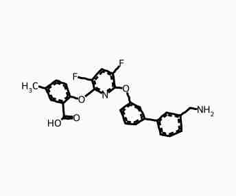 Cc1ccc(Oc2nc(Oc3cccc(-c4cccc(CN)c4)c3)c(F)cc2F)c(C(=O)O)c1